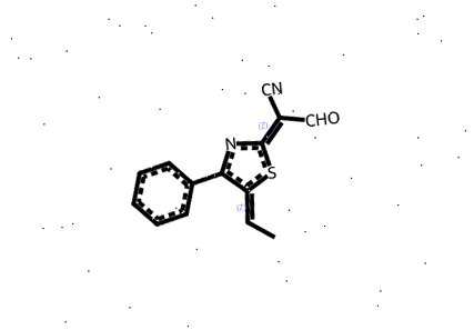 C/C=c1\s/c(=C(/C#N)C=O)nc1-c1ccccc1